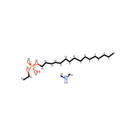 CCCCCCCCCCCCCCCCOP(=O)(O)OCC.CNC